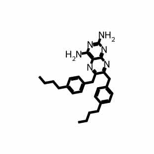 CCCCc1ccc(Cc2nc3nc(N)nc(N)c3nc2Cc2ccc(CCCC)cc2)cc1